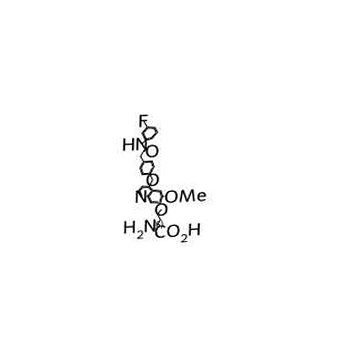 COc1cc2c(Oc3ccc(CC(=O)Nc4cccc(F)c4)cc3)ccnc2cc1OCC[C@H](N)C(=O)O